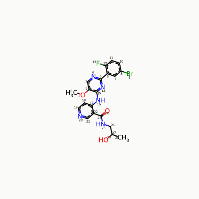 COc1cnc(-c2cc(Br)ccc2F)nc1Nc1ccncc1C(=O)NCC(C)O